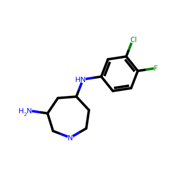 NC1C[N]CCC(Nc2ccc(F)c(Cl)c2)C1